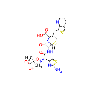 CC(C)(O/N=C(\C(=O)NC1C(=O)N2C(C(=O)O)=C(Cc3scc4cccnc34)CS[C@H]12)c1csc(N)n1)C(=O)O